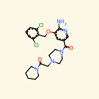 Nc1ncc(C(=O)N2CCN(CC(=O)N3CCCCC3)CC2)cc1OCc1c(Cl)cccc1Cl